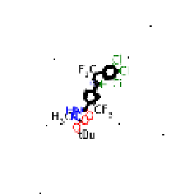 CN(NC(=O)c1ccc(/C(F)=C/C(c2cc(Cl)c(Cl)c(Cl)c2)C(F)(F)F)cc1C(F)(F)F)C(=O)OC(C)(C)C